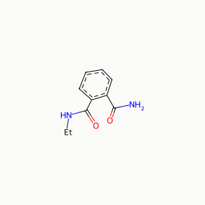 CCNC(=O)c1ccccc1C(N)=O